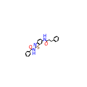 O=C(CCc1ccccc1)Nc1ccc2nc(NC(=O)c3ccccc3)sc2c1